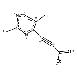 CCC(=O)C#Cc1nc(C)ncc1C